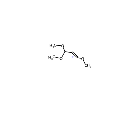 CO/C=C/C(OC)OC